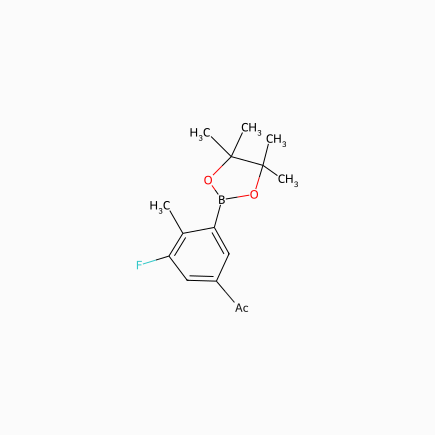 CC(=O)c1cc(F)c(C)c(B2OC(C)(C)C(C)(C)O2)c1